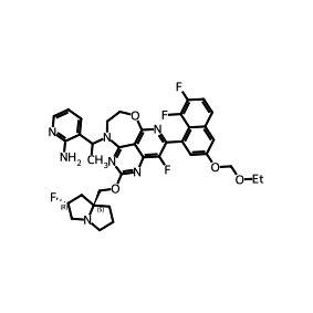 CCOCOc1cc(-c2nc3c4c(nc(OC[C@@]56CCCN5C[C@H](F)C6)nc4c2F)N(C(C)c2cccnc2N)CCO3)c2c(F)c(F)ccc2c1